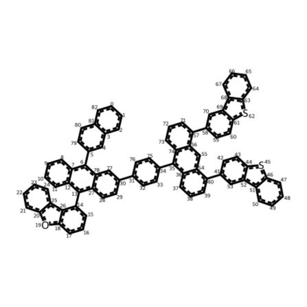 c1ccc2cc(-c3c4ccccc4c(-c4cccc5oc6ccccc6c45)c4ccc(-c5ccc(-c6c7cccc(-c8ccc9sc%10ccccc%10c9c8)c7cc7c(-c8ccc9sc%10ccccc%10c9c8)cccc67)cc5)cc34)ccc2c1